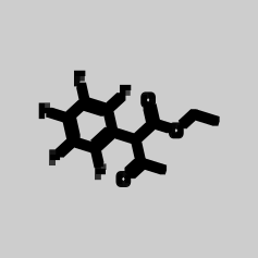 CCOC(=O)C(C(C)=O)c1c(F)c(F)c(F)c(F)c1F